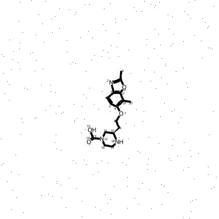 Cc1nc2ccc(OCC[C@@H]3CN(C(=O)O)CCN3)c(C)c2o1